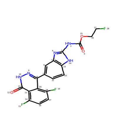 O=C(Nc1nc2cc(-c3n[nH]c(=O)c4c(F)ccc(F)c34)ccc2[nH]1)OCCF